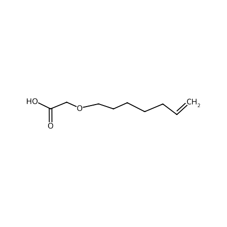 C=CCCCCCOCC(=O)O